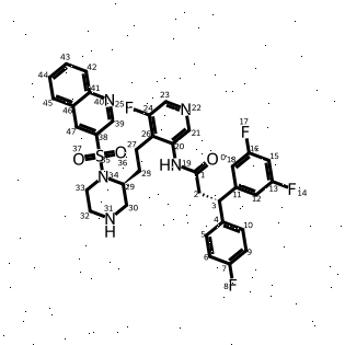 O=C(C[C@@H](c1ccc(F)cc1)c1cc(F)cc(F)c1)Nc1cncc(F)c1CC[C@H]1CNCCN1S(=O)(=O)c1cnc2ccccc2c1